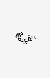 Cn1ncc(N2CC[C@@H](OC(=O)N[C@H]3CC[C@H](NS(=O)(=O)NC4CCCC4)CC3)C2)c(Cl)c1=O